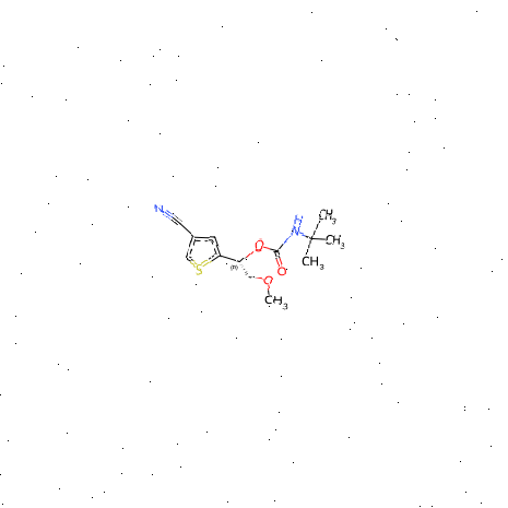 COC[C@@H](OC(=O)NC(C)(C)C)c1cc(C#N)cs1